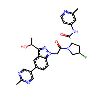 Cc1cc(NC(=O)[C@@H]2C[C@@H](F)CN2C(=O)Cn2nc(C(C)O)c3cc(-c4cnc(C)nc4)ccc32)ccn1